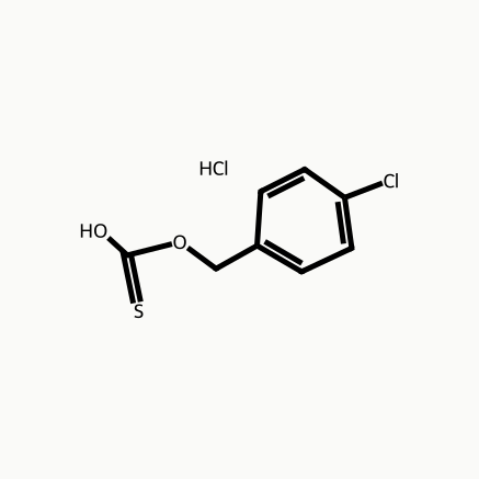 Cl.OC(=S)OCc1ccc(Cl)cc1